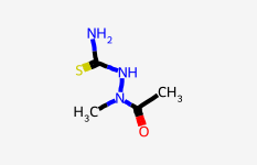 CC(=O)N(C)NC(N)=S